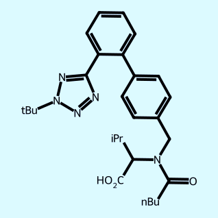 CCCCC(=O)N(Cc1ccc(-c2ccccc2-c2nnn(C(C)(C)C)n2)cc1)C(C(=O)O)C(C)C